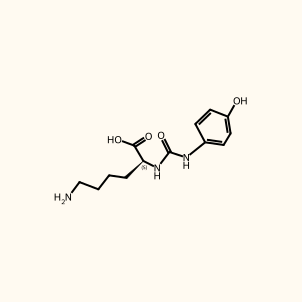 NCCCC[C@H](NC(=O)Nc1ccc(O)cc1)C(=O)O